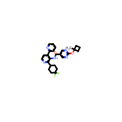 CC1(Oc2ncc(C(=O)Nc3c(-c4ccccn4)ccnc3C3CCC(F)(F)CC3)cn2)CCC1